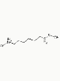 CC[SiH2]CCCCCC[SiH2]OO